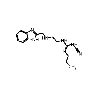 CCCN=C(NC#N)NCCNCc1nc2ccccc2[nH]1